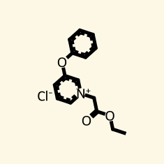 CCOC(=O)C[n+]1cccc(Oc2ccccc2)c1.[Cl-]